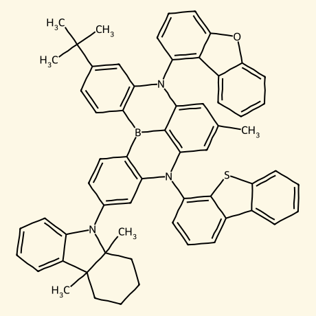 Cc1cc2c3c(c1)N(c1cccc4oc5ccccc5c14)c1cc(C(C)(C)C)ccc1B3c1ccc(N3c4ccccc4C4(C)CCCCC34C)cc1N2c1cccc2c1sc1ccccc12